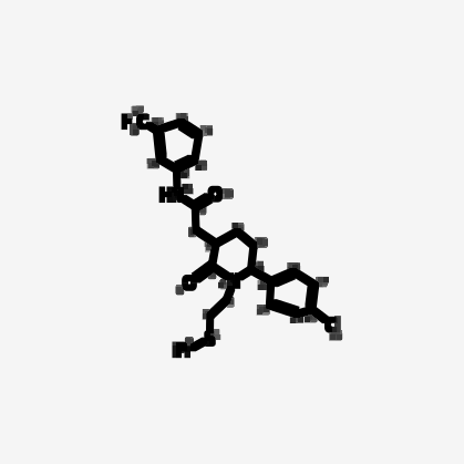 CC(C)SCCN1C(=O)C(CC(=O)Nc2cccc(C(F)(F)F)c2)CCC1c1ccc(Cl)cc1